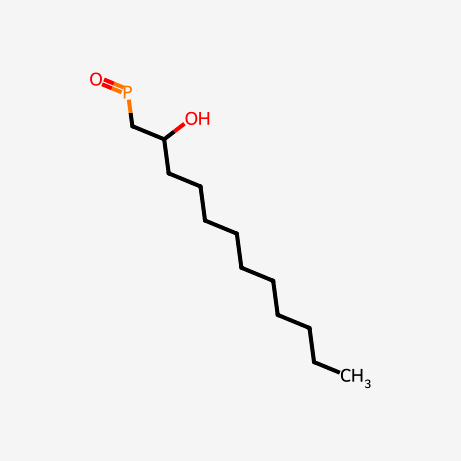 CCCCCCCCCCC(O)CP=O